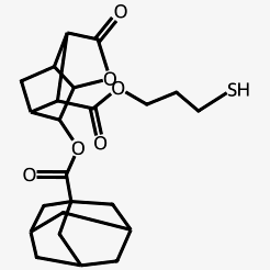 O=C1OC2C3CC(C2OC(=O)C24CC5CC(CC(C5)C2)C4)C(C(=O)OCCCS)C13